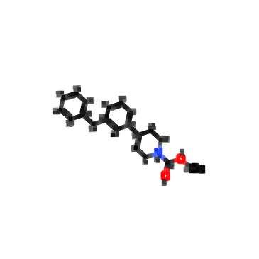 CC(C)(C)OC(=O)N1CC=C(c2cccc(Cc3ccccc3)c2)CC1